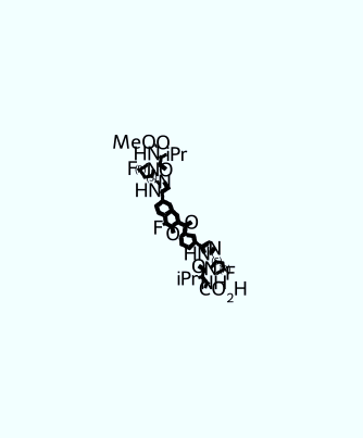 COC(=O)NC(C(=O)N1C[C@H](F)C[C@H]1c1ncc(-c2ccc3c(F)c4oc5ccc(-c6cnc([C@@H]7C[C@@H](F)CN7C(=O)C(NC(=O)O)C(C)C)[nH]6)cc5c(=O)c4cc3c2)[nH]1)C(C)C